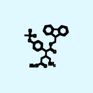 COC(=O)CC(CN)C(C(=O)OCC1c2ccccc2-c2ccccc21)c1ccc(OS(C)(=O)=O)cc1